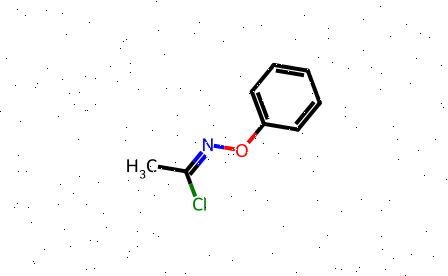 C/C(Cl)=N/Oc1ccccc1